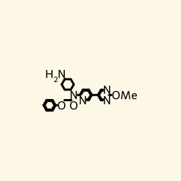 COc1ncc(-c2ccc(N(C(=O)COc3ccccc3)[C@H]3CC[C@H](N)CC3)nc2)cn1